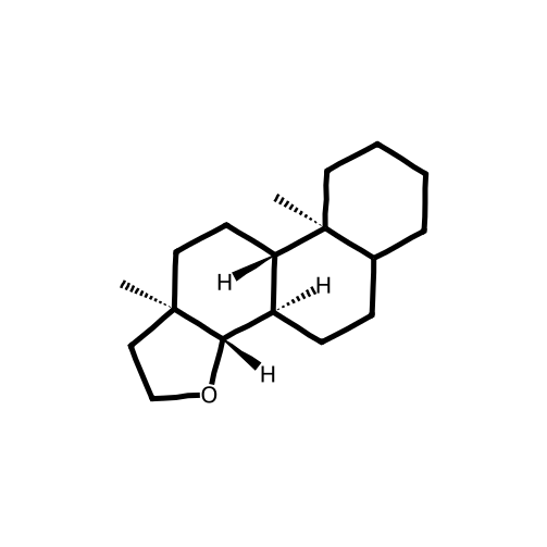 C[C@@]12CCO[C@H]1[C@@H]1CCC3CCCC[C@]3(C)[C@H]1CC2